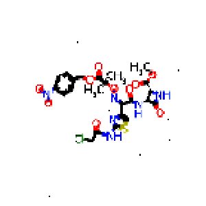 COC(=O)[C@@H]1NC(=O)[C@@H]1NC(=O)/C(=N\OC(C)(C)C(=O)OCc1ccc([N+](=O)[O-])cc1)c1csc(NC(=O)CCl)n1